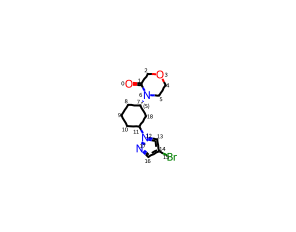 O=C1COCCN1[C@H]1CCCC(n2cc(Br)cn2)C1